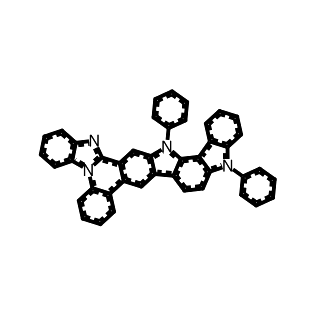 c1ccc(-n2c3ccccc3c3c2ccc2c4cc5c6ccccc6n6c7ccccc7nc6c5cc4n(-c4ccccc4)c23)cc1